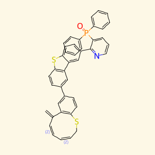 C=C1/C=C\C=C/CSc2ccc(-c3ccc4sc5ccc(-c6ncccc6P(=O)(c6ccccc6)c6ccccc6)cc5c4c3)cc21